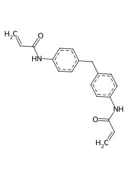 C=CC(=O)Nc1ccc(Cc2ccc(NC(=O)C=C)cc2)cc1